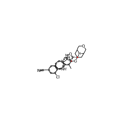 Cc1c(Nc2ccc(C#N)cc2Cl)ncnc1OC1CC2COCC(C1)N2Cc1nc(-c2ccccc2)no1